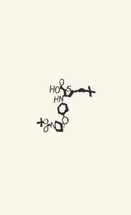 CC(C)(C)C#Cc1cc(N[C@H]2CC[C@H](O[C@@H]3CCN(C(=O)OC(C)(C)C)C3)CC2)c(C(=O)O)s1